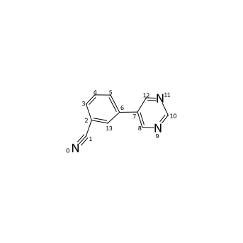 N#Cc1cccc(-c2cncnc2)c1